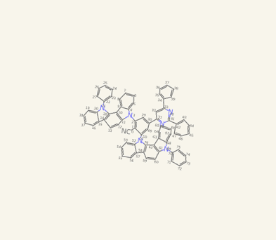 N#Cc1c(-n2c3ccccc3c3c2ccc2c4ccccc4n(-c4ccccc4)c23)cc(-c2cc(-c3ccccc3)nc(-c3ccccc3)n2)cc1-n1c2ccccc2c2ccc3c(c4ccccc4n3-c3ccccc3)c21